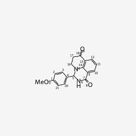 COc1ccc(C2NC(=O)c3cccc4c3N2CCC4=O)cc1